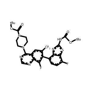 CC(C)(C)OC(=O)Nc1nc2c(-c3c(C(F)(F)F)cc4c(N5CCN(C(=O)OC(C)(C)C)CC5)ncnc4c3F)ccc(F)c2s1